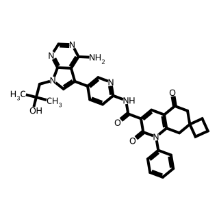 CC(C)(O)Cn1cc(-c2ccc(NC(=O)c3cc4c(n(-c5ccccc5)c3=O)CC3(CCC3)CC4=O)nc2)c2c(N)ncnc21